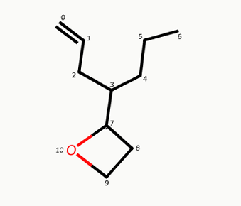 C=CCC(CCC)[C]1CCO1